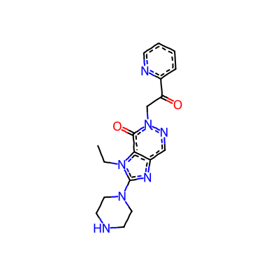 CCn1c(N2CCNCC2)nc2cnn(CC(=O)c3ccccn3)c(=O)c21